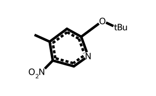 Cc1cc(OC(C)(C)C)ncc1[N+](=O)[O-]